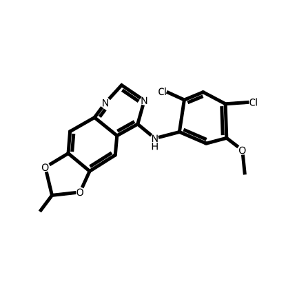 COc1cc(Nc2ncnc3cc4c(cc23)OC(C)O4)c(Cl)cc1Cl